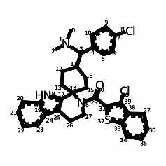 CN(C)C(c1ccc(Cl)cc1)C1CCC2(CC1)c1[nH]c3ccccc3c1CCN2C(=O)c1sc2ccccc2c1Cl